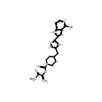 C=C(OC(=O)N1CCC(Cc2noc(-c3cc4c(C#N)nccc4o3)n2)CC1)C(=O)OC